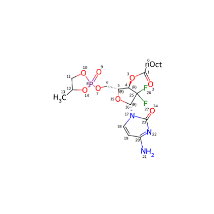 CCCCCCCCC(=O)O[C@@H]1[C@@H](COP2(=O)OCC(C)O2)O[C@@H](n2ccc(N)nc2=O)C1(F)F